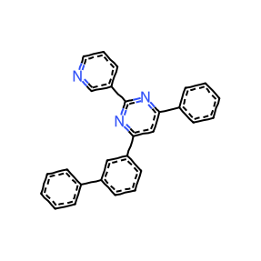 c1ccc(-c2cccc(-c3cc(-c4ccccc4)nc(-c4cccnc4)n3)c2)cc1